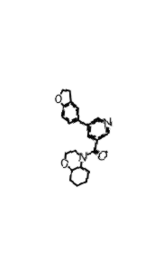 O=C(c1cncc(-c2ccc3c(c2)CCO3)c1)N1CCOC2CCCCC21